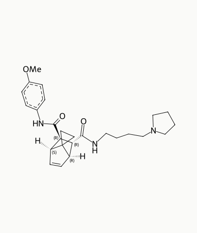 COc1ccc(NC(=O)[C@H]2[C@H](C(=O)NCCCCN3CCCC3)[C@H]3C=C[C@@H]2C32CC2)cc1